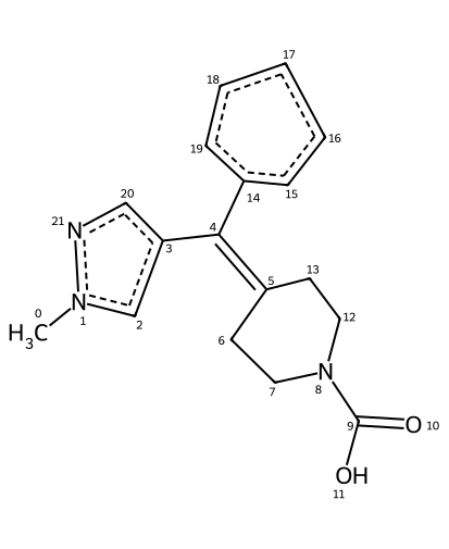 Cn1cc(C(=C2CCN(C(=O)O)CC2)c2ccccc2)cn1